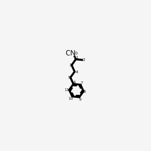 [C-]#[N+]C(C)CCCc1ccccc1